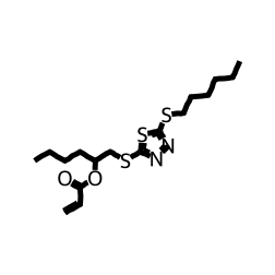 C=CC(=O)OC(CCCC)CSc1nnc(SCCCCCC)s1